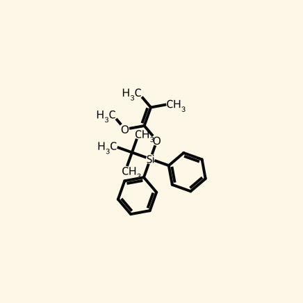 COC(O[Si](c1ccccc1)(c1ccccc1)C(C)(C)C)=C(C)C